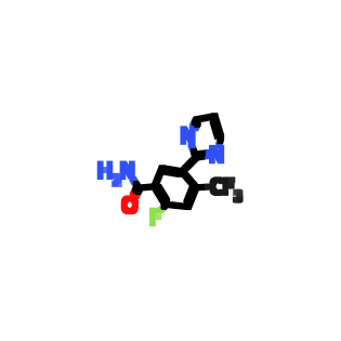 NC(=O)c1cc(-c2ncccn2)c(C(F)(F)F)cc1F